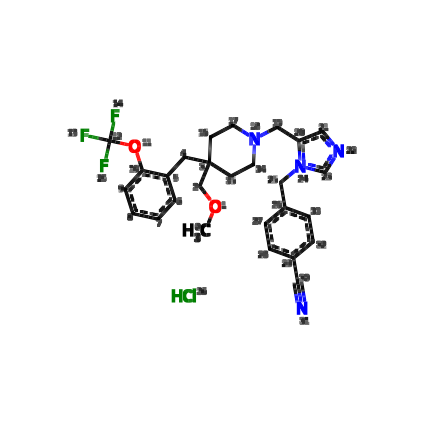 COCC1(Cc2ccccc2OC(F)(F)F)CCN(Cc2cncn2Cc2ccc(C#N)cc2)CC1.Cl